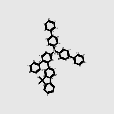 CC1(C)c2ccccc2-c2ccc(-c3cc(N(c4ccc(-c5ccccc5)cc4)c4ccc(-c5ccccc5)cc4)ccc3-c3ccccc3)cc21